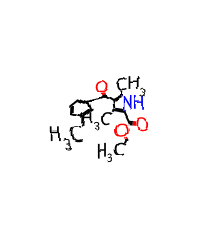 CCOC(=O)c1[nH]c(C)c(C(=O)c2cccc(CC)c2)c1C